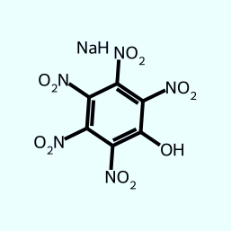 O=[N+]([O-])c1c(O)c([N+](=O)[O-])c([N+](=O)[O-])c([N+](=O)[O-])c1[N+](=O)[O-].[NaH]